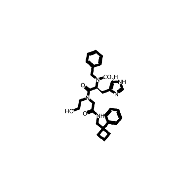 O=C(CN(CCO)C(=O)[C@H](Cc1c[nH]cn1)N(Cc1ccccc1)C(=O)O)NCC1(c2ccccc2)CCC1